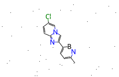 Cc1ccc(-c2cn3cc(Cl)ccc3n2)bn1